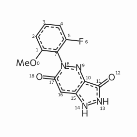 COc1cccc(F)c1-n1nc2c(=O)[nH][nH]c2cc1=O